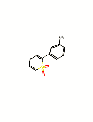 Cc1cccc(C2=CCC=CS2(=O)=O)c1